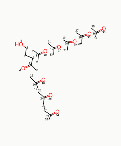 CC(=O)CCCO.CC(C)=O.CC(C)=O.CC(C)=O.CC(C)=O.CC(C)=O.CC(C)=O.CC(C)=O.CC(C)=O